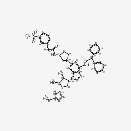 NS(=O)(=O)c1cccc(NC(=O)NC2CCN(c3nc(NCC(c4ccccc4)c4ccccc4)c4ncn([C@@H]5C[C@H](n6ncc(CO)n6)[C@@H](O)[C@H]5O)c4n3)C2)c1